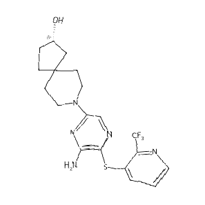 Nc1nc(N2CCC3(CC[C@H](O)C3)CC2)cnc1Sc1cccnc1C(F)(F)F